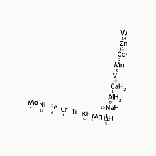 [AlH3].[CaH2].[Co].[Cr].[Fe].[KH].[LiH].[MgH2].[Mn].[Mo].[NaH].[Ni].[Ti].[V].[W].[Zn]